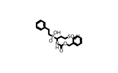 O=C(NC(CCS(=O)(=O)O)P(=O)(O)CCc1ccccc1)OCc1ccccc1